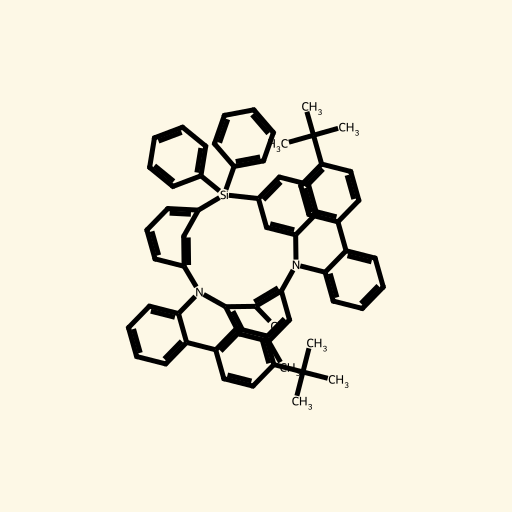 Cc1cc2c(Cl)c(c1)N(c1ccccc1-c1ccc(C(C)(C)C)cc1)c1cccc(c1)[Si](c1ccccc1)(c1ccccc1)c1cccc(c1)N2c1ccccc1-c1ccc(C(C)(C)C)cc1